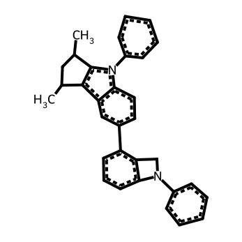 CC1CC(C)c2c1c1cc(-c3cccc4c3CN4c3ccccc3)ccc1n2-c1ccccc1